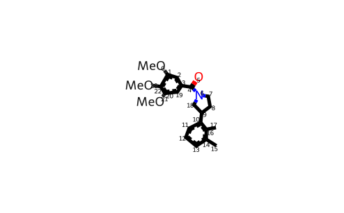 COc1cc(C(=O)N2CCC(c3cccc(C)c3C)C2)cc(OC)c1OC